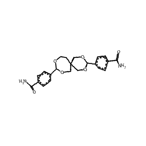 NC(=O)c1ccc(C2OCCC3(CO2)COC(c2ccc(C(N)=O)cc2)OC3)cc1